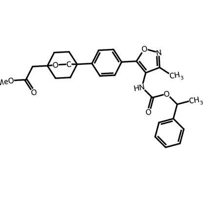 COC(=O)CC12CCC(c3ccc(-c4onc(C)c4NC(=O)OC(C)c4ccccc4)cc3)(CC1)CO2